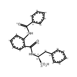 O=C(Nc1ccccc1C(=O)N[C@@H](Cc1ccccc1)C(=O)O)c1ccccc1